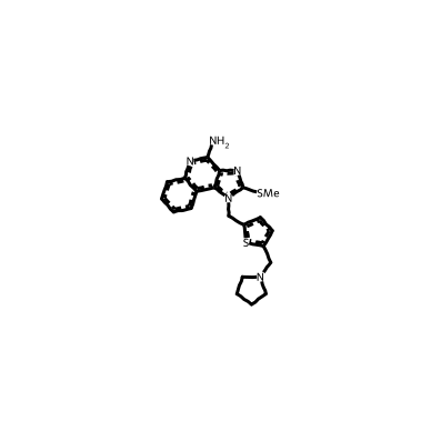 CSc1nc2c(N)nc3ccccc3c2n1Cc1ccc(CN2CCCC2)s1